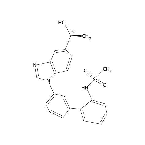 C[C@H](O)c1ccc2c(c1)ncn2-c1cccc(-c2ccccc2NS(C)(=O)=O)c1